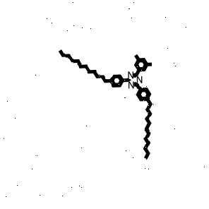 CCCCCCCCCCCCc1ccc(-c2nc(-c3ccc(CCCCCCCCCCCC)cc3)nc(-c3cc(C)cc(C)c3)n2)cc1